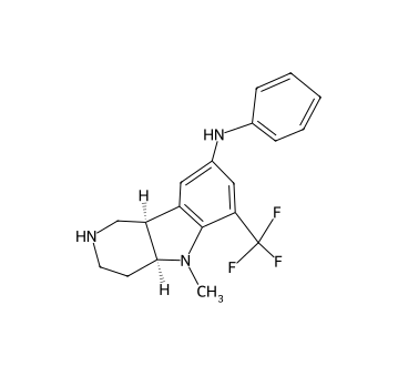 CN1c2c(cc(Nc3ccccc3)cc2C(F)(F)F)[C@@H]2CNCC[C@@H]21